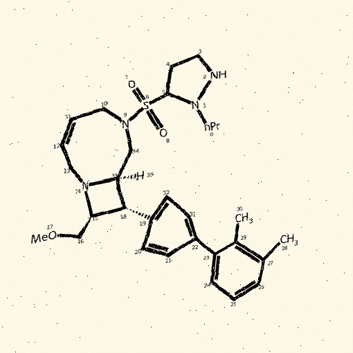 CCCN1NCCC1S(=O)(=O)N1C/C=C\CN2[C@H](COC)[C@@H](c3ccc(-c4cccc(C)c4C)cc3)[C@@H]2C1